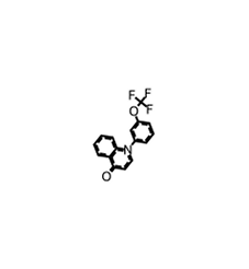 O=c1ccn(-c2cccc(OC(F)(F)F)c2)c2ccccc12